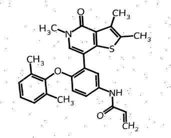 C=CC(=O)Nc1ccc(Oc2c(C)cccc2C)c(-c2cn(C)c(=O)c3c(C)c(C)sc23)c1